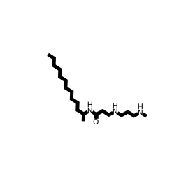 CCCCCCCCCCCC(C)NC(=O)CCNCCCNC